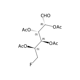 CC(=O)O[C@H]([C@H](OC(C)=O)[C@H](C=O)OC(C)=O)[C@@H](CF)OC(C)=O